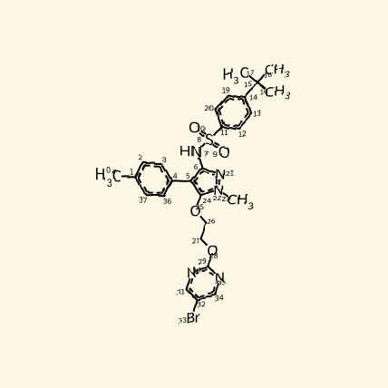 Cc1ccc(-c2c(NS(=O)(=O)c3ccc(C(C)(C)C)cc3)nn(C)c2OCCOc2ncc(Br)cn2)cc1